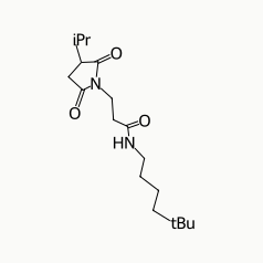 CC(C)C1CC(=O)N(CCC(=O)NCCCCC(C)(C)C)C1=O